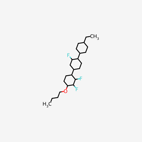 CCCCOC1CCC(C2CCC(C3CCC(CC)CC3)C(F)C2)C(F)C1F